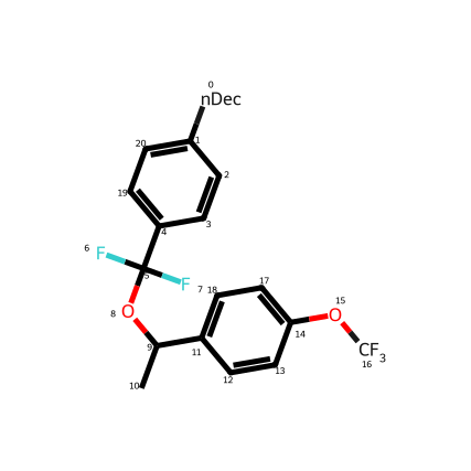 CCCCCCCCCCc1ccc(C(F)(F)OC(C)c2ccc(OC(F)(F)F)cc2)cc1